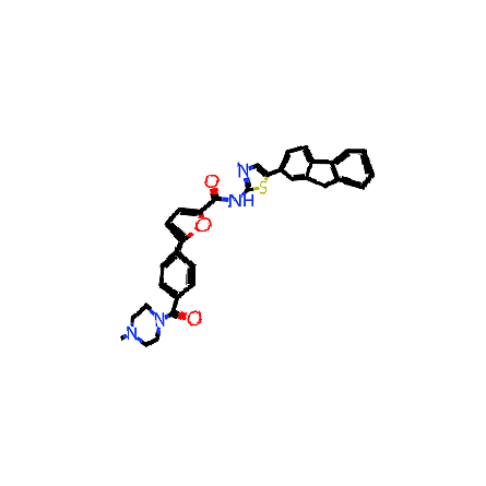 CN1CCN(C(=O)c2ccc(-c3ccc(C(=O)Nc4ncc(-c5ccc6c(c5)Cc5ccccc5-6)s4)o3)cc2)CC1